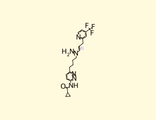 NN(/C=C/Cc1cc(C(F)(F)F)ccn1)CCCCc1ccc(NC(=O)C2CC2)nn1